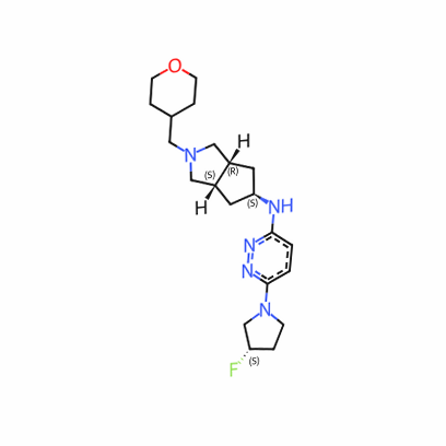 F[C@H]1CCN(c2ccc(N[C@H]3C[C@@H]4CN(CC5CCOCC5)C[C@@H]4C3)nn2)C1